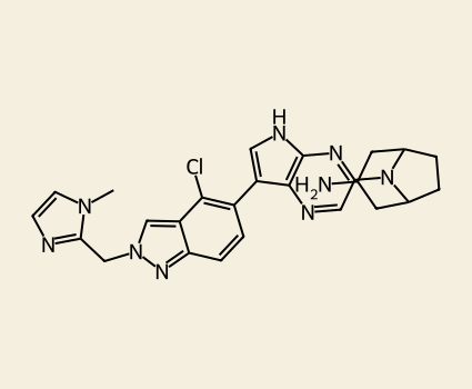 Cn1ccnc1Cn1cc2c(Cl)c(-c3c[nH]c4nc(N5C6CCC5CC(N)C6)cnc34)ccc2n1